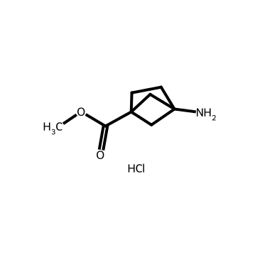 COC(=O)C12CCC(N)(C1)C2.Cl